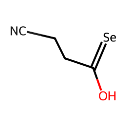 N#CCCC(O)=[Se]